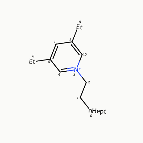 CCCCCCCCC[n+]1cc(CC)cc(CC)c1